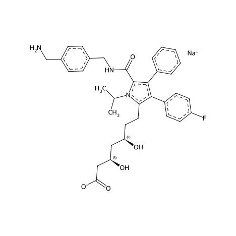 CC(C)n1c(CC[C@@H](O)C[C@@H](O)CC(=O)[O-])c(-c2ccc(F)cc2)c(-c2ccccc2)c1C(=O)NCc1ccc(CN)cc1.[Na+]